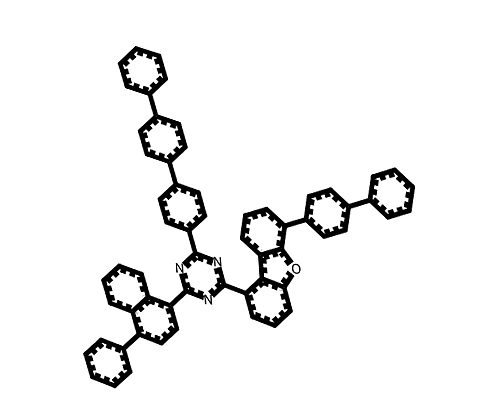 c1ccc(-c2ccc(-c3ccc(-c4nc(-c5ccc(-c6ccccc6)c6ccccc56)nc(-c5cccc6oc7c(-c8ccc(-c9ccccc9)cc8)cccc7c56)n4)cc3)cc2)cc1